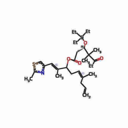 C=CC/C(C)=C\CC(OC(=O)C[C@H](O[Si](CC)(CC)CC)C(C)(C)C(=O)CC)/C(C)=C/c1csc(C)n1